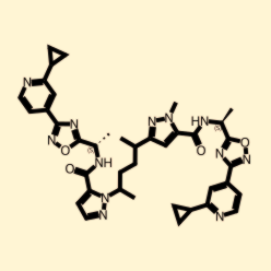 CC(CCC(C)n1nccc1C(=O)N[C@@H](C)c1nc(-c2ccnc(C3CC3)c2)no1)c1cc(C(=O)N[C@@H](C)c2nc(-c3ccnc(C4CC4)c3)no2)n(C)n1